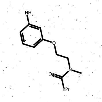 CCCC(=O)N(C)CCOc1cccc(N)c1